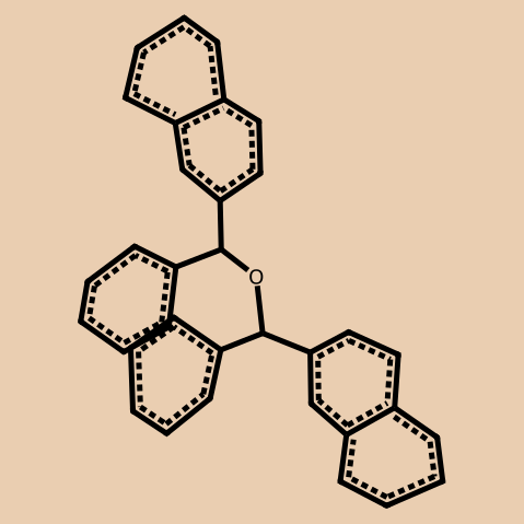 c1ccc(C(OC(c2ccccc2)c2ccc3ccccc3c2)c2ccc3ccccc3c2)cc1